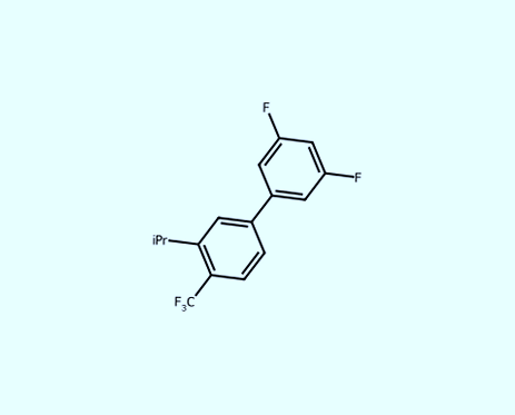 CC(C)c1cc(-c2cc(F)cc(F)c2)ccc1C(F)(F)F